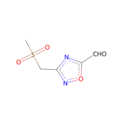 CS(=O)(=O)Cc1noc(C=O)n1